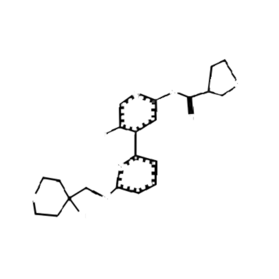 CC1(CNc2cccc(-c3cc(NC(=O)C4CCNC4)ncc3Cl)n2)CCOCC1